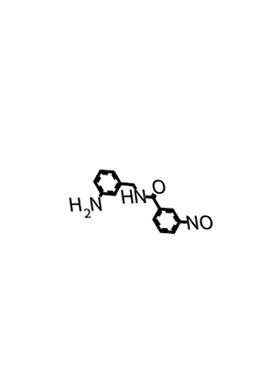 Nc1cccc(CNC(=O)c2cccc(N=O)c2)c1